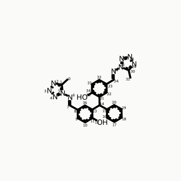 Cc1nnnn1/N=C/c1ccc(O)c(C(c2ccccc2)c2cc(/C=N/n3nnnc3C)ccc2O)c1